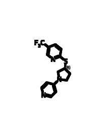 FC(F)(F)c1ccc(S[C@H]2CCN(c3ccncc3)C2)nc1